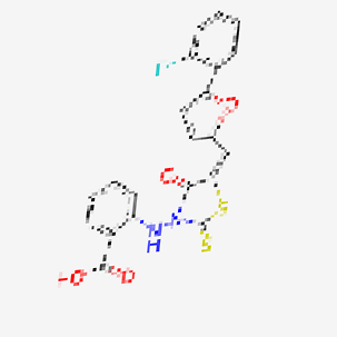 O=C(O)c1ccccc1NN1C(=O)/C(=C\c2ccc(-c3ccccc3F)o2)SC1=S